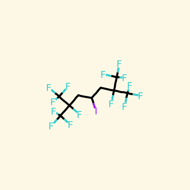 FC(F)(F)C(F)(CC(I)CC(F)(C(F)(F)F)C(F)(F)F)C(F)(F)F